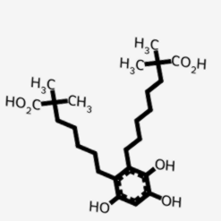 CC(C)(CCCCCCc1c(O)c(O)cc(O)c1CCCCCC(C)(C)C(=O)O)C(=O)O